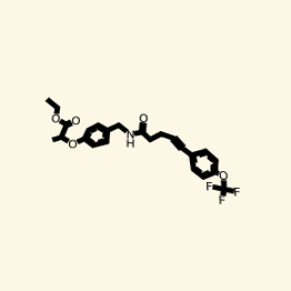 CCOC(=O)C(C)Oc1ccc(CNC(=O)CCC#Cc2ccc(OC(F)(F)F)cc2)cc1